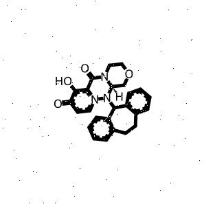 O=C1c2c(O)c(=O)ccn2N(C2c3ccccc3CCc3ccccc32)[C@@H]2COCCN12